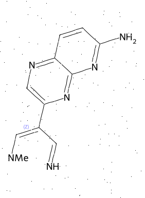 CN/C=C(\C=N)c1cnc2ccc(N)nc2n1